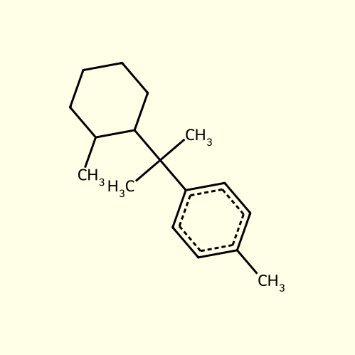 Cc1ccc(C(C)(C)C2CCCCC2C)cc1